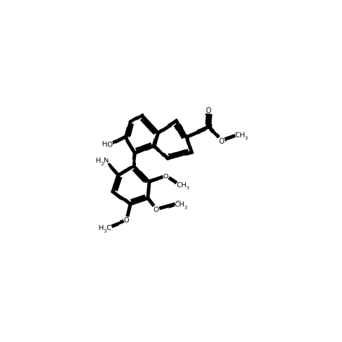 COC(=O)c1ccc2c(-c3c(N)cc(OC)c(OC)c3OC)c(O)ccc2c1